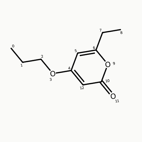 CCCOc1cc(CC)oc(=O)c1